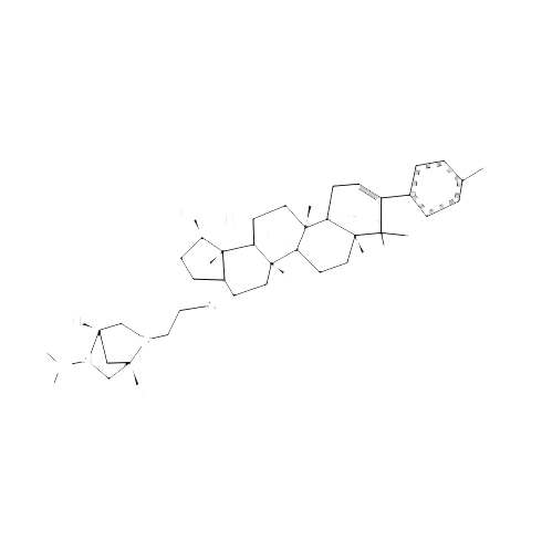 CC(C)[C@@H]1CC[C@]2(NCCN3C[C@@H]4C[C@H]3CN4[S+](C)[O-])CC[C@]3(C)[C@H](CC[C@@H]4[C@@]5(C)CC=C(c6ccc(C(=O)O)cc6)C(C)(C)[C@@H]5CC[C@]43C)[C@@H]12